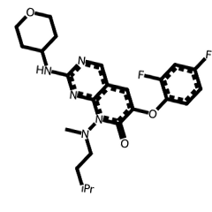 CC(C)CCN(C)n1c(=O)c(Oc2ccc(F)cc2F)cc2cnc(NC3CCOCC3)nc21